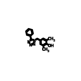 Cc1cc(Cn2nnnc2-c2ccccc2)cc(C)c1O